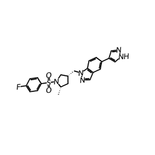 C[C@H]1C[C@@H](Cn2ncc3cc(-c4cn[nH]c4)ccc32)CN1S(=O)(=O)c1ccc(F)cc1